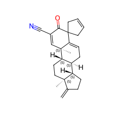 C=C1CC[C@H]2[C@@H]3CC=C4C5(CC=CC5)C(=O)C(C#N)=C[C@]4(C)[C@H]3CC[C@]12C